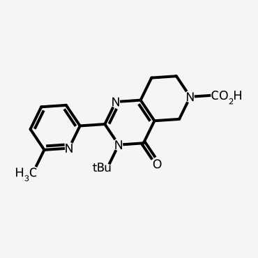 Cc1cccc(-c2nc3c(c(=O)n2C(C)(C)C)CN(C(=O)O)CC3)n1